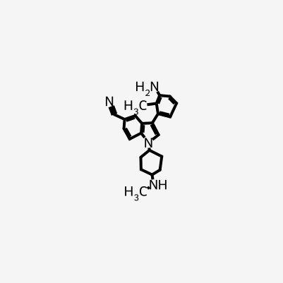 CNC1CCC(n2cc(-c3cccc(N)c3C)c3cc(C#N)ccc32)CC1